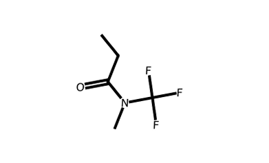 CCC(=O)N(C)C(F)(F)F